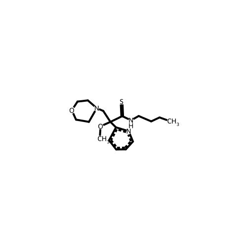 CCCCNC(=S)C(CN1CCOCC1)(OC)c1ccccn1